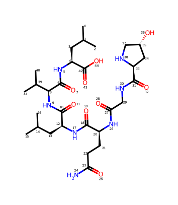 CC(C)C[C@H](NC(=O)[C@@H](NC(=O)[C@H](CC(C)C)NC(=O)[C@H](CCC(N)=O)NC(=O)CNC(=O)[C@@H]1C[C@@H](O)CN1)C(C)C)C(=O)O